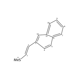 CS/C=C/c1ccc2ccccc2c1